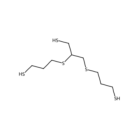 SCCCSCC(CS)SCCCS